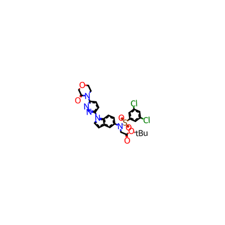 CC(C)(C)OC(=O)CN(c1ccc2c(ccn2-c2ccc(N3CCOCC3=O)nn2)c1)S(=O)(=O)c1cc(Cl)cc(Cl)c1